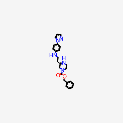 O=C(OCc1ccccc1)N1CCN[C@H](CCNc2ccc(-n3cccn3)cc2)C1